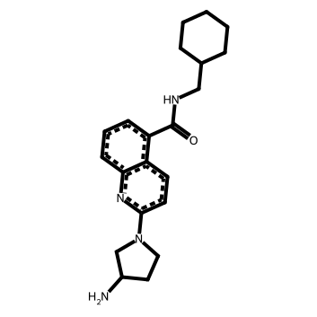 NC1CCN(c2ccc3c(C(=O)NCC4CCCCC4)cccc3n2)C1